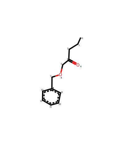 CCCC(=O)COCc1ccccc1